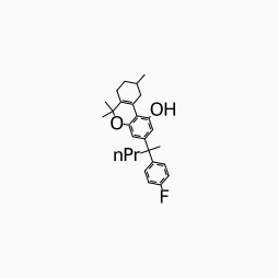 CCCC(C)(c1ccc(F)cc1)c1cc(O)c2c(c1)OC(C)(C)C1=C2CC(C)CC1